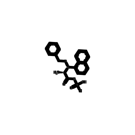 C[C@@H](C(=O)OP(=O)(O)Cl)N(OCc1ccccc1)c1cccc2ccccc12